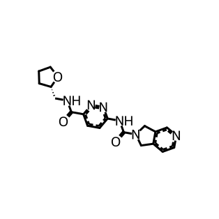 O=C(NC[C@@H]1CCCO1)c1ccc(NC(=O)N2Cc3ccncc3C2)nn1